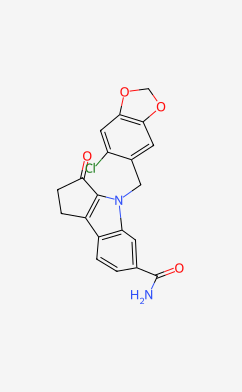 NC(=O)c1ccc2c3c(n(Cc4cc5c(cc4Cl)OCO5)c2c1)C(=O)CC3